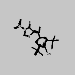 CC(=C1SCN(N(C)C)C1=O)c1cc(C(C)(C)C)c(O)c(C(C)(C)C)c1